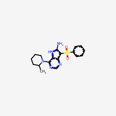 CC1CCCCN1c1ncnc2c(S(=O)(=O)c3ccccc3)c(N)[nH]c12